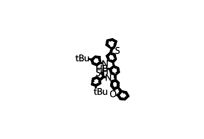 CC(C)(C)c1ccc(Nc2cc3c(cc2-c2ccc4c5cc6c(cc5n5c4c2Bc2sc4ccc(C(C)(C)C)cc4c2-5)oc2ccccc26)sc2ccccc23)cc1